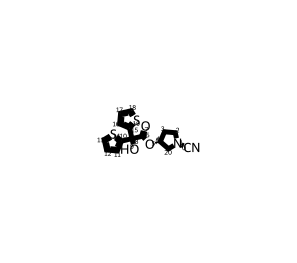 N#CN1CC[C@@H](OC(=O)C(O)(c2cccs2)c2cccs2)C1